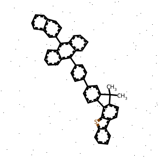 CC1(C)c2cc(-c3ccc(-c4c5ccccc5c(-c5ccc6ccccc6c5)c5ccccc45)cc3)ccc2-c2c1ccc1c2sc2ccccc21